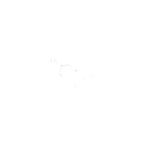 CC(C)C(C)C(C)(C)NC(=N)N